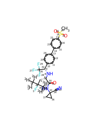 [2H]C([2H])([2H])C(F)(C[C@H](N[C@@H](c1ccc(-c2ccc(S(C)(=O)=O)cc2)cc1)C(F)(F)F)C(=O)NC1(C#N)CC1)C([2H])([2H])[2H]